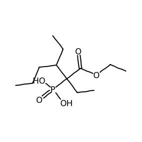 CCCC(CC)C(CC)(C(=O)OCC)P(=O)(O)O